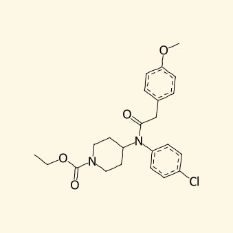 CCOC(=O)N1CCC(N(C(=O)Cc2ccc(OC)cc2)c2ccc(Cl)cc2)CC1